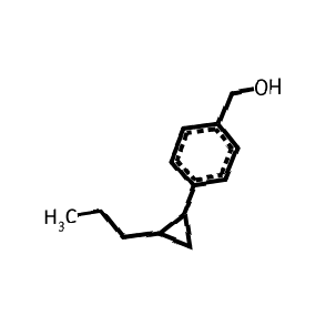 CCCC1CC1c1ccc(CO)cc1